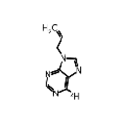 [2H]c1ncnc2c1ncn2CC=C